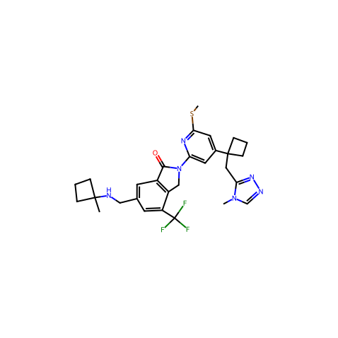 CSc1cc(C2(Cc3nncn3C)CCC2)cc(N2Cc3c(cc(CNC4(C)CCC4)cc3C(F)(F)F)C2=O)n1